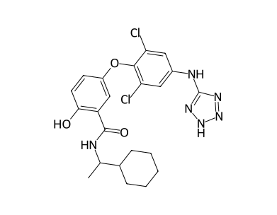 CC(NC(=O)c1cc(Oc2c(Cl)cc(Nc3nn[nH]n3)cc2Cl)ccc1O)C1CCCCC1